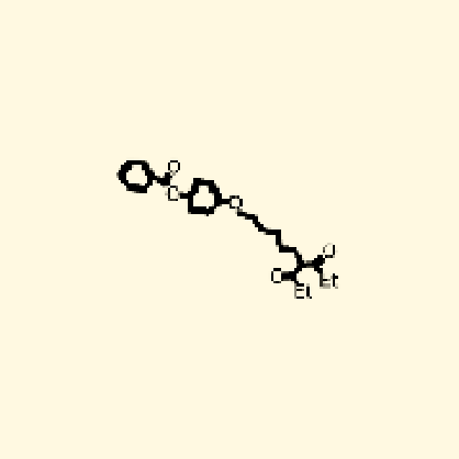 CCC(=O)C(CCCCCCOc1ccc(OC(=O)c2ccccc2)cc1)C(=O)CC